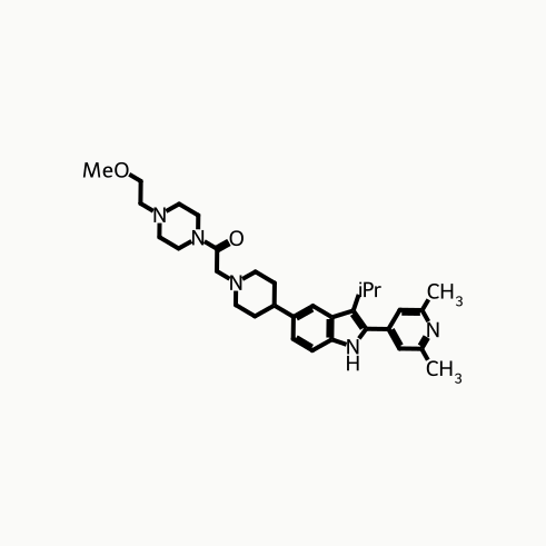 COCCN1CCN(C(=O)CN2CCC(c3ccc4[nH]c(-c5cc(C)nc(C)c5)c(C(C)C)c4c3)CC2)CC1